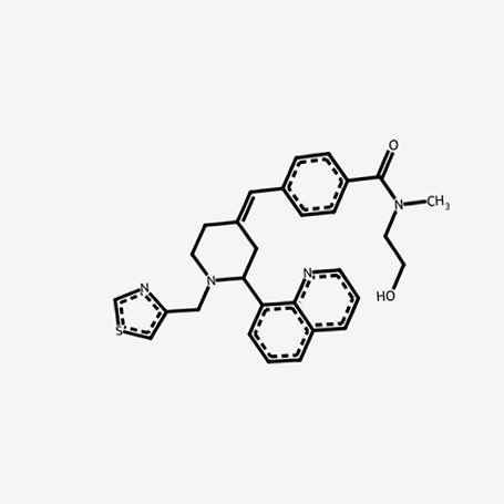 CN(CCO)C(=O)c1ccc(C=C2CCN(Cc3cscn3)C(c3cccc4cccnc34)C2)cc1